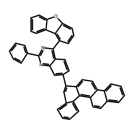 c1ccc(-c2nc(-c3cccc4oc5ccccc5c34)c3ccc(-c4cc5ccccc5c5c4ccc4c6ccccc6ccc45)cc3n2)cc1